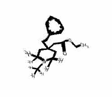 [2H]C([2H])([2H])N1C([2H])([2H])CC(CC(=O)OCC)(Cc2ccccc2)CC1([2H])[2H]